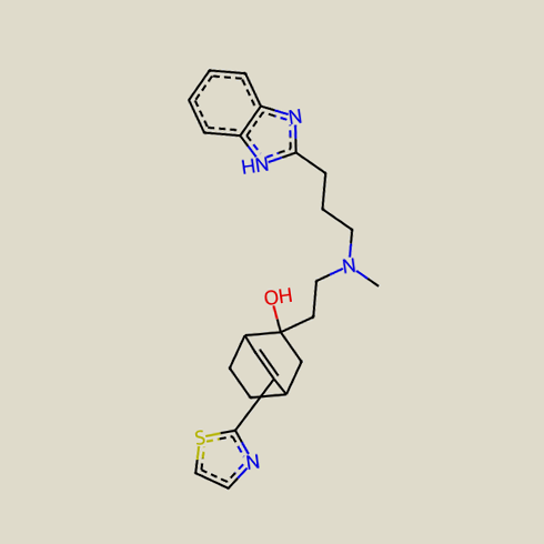 CN(CCCc1nc2ccccc2[nH]1)CCC1(O)CC2CCC1C=C2c1nccs1